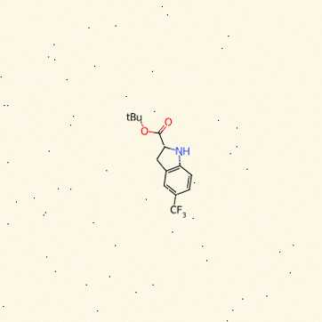 CC(C)(C)OC(=O)C1Cc2cc(C(F)(F)F)ccc2N1